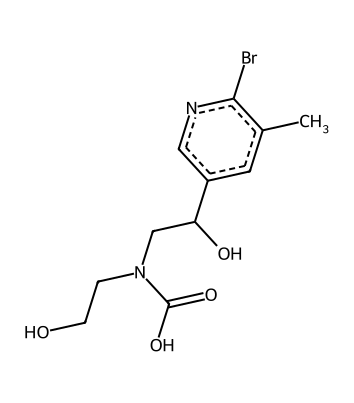 Cc1cc(C(O)CN(CCO)C(=O)O)cnc1Br